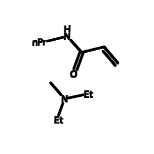 C=CC(=O)NCCC.CCN(C)CC